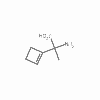 CC(N)(C(=O)O)C1=CCC1